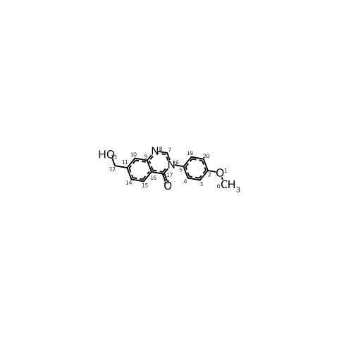 COc1ccc(-n2cnc3cc(CO)ccc3c2=O)cc1